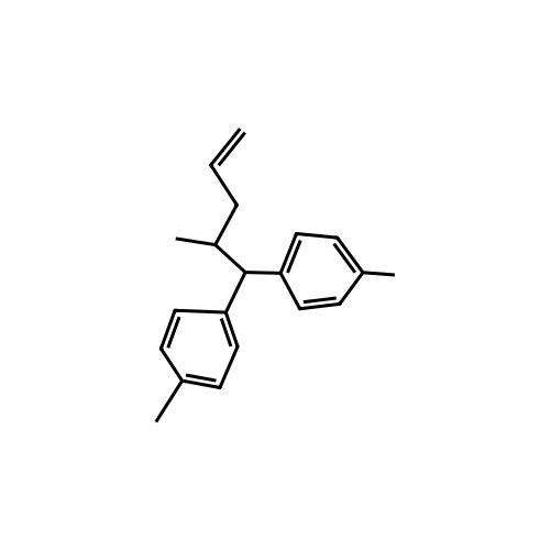 C=CCC(C)C(c1ccc(C)cc1)c1ccc(C)cc1